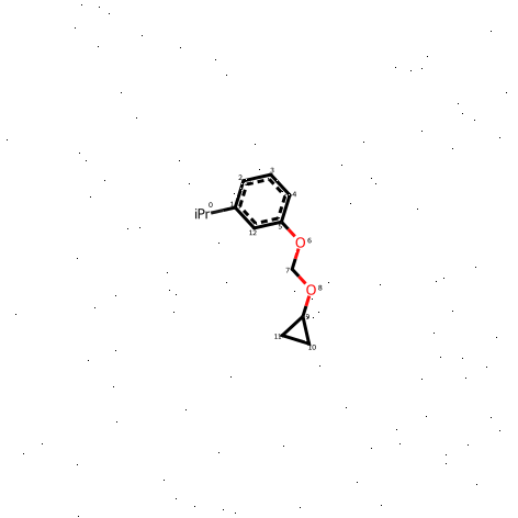 CC(C)c1cccc(OCOC2CC2)c1